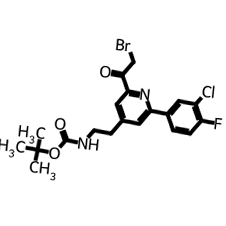 CC(C)(C)OC(=O)NCCc1cc(C(=O)CBr)nc(-c2ccc(F)c(Cl)c2)c1